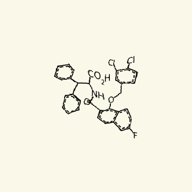 O=C(NC(C(=O)O)C(c1ccccc1)c1ccccc1)c1ccc2cc(F)ccc2c1OCc1ccc(Cl)c(Cl)c1